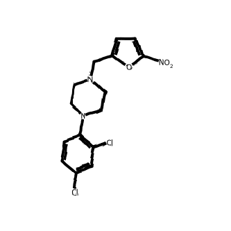 O=[N+]([O-])c1ccc(CN2CCN(c3ccc(Cl)cc3Cl)CC2)o1